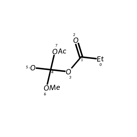 CCC(=O)OC([O])(OC)OC(C)=O